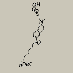 CCCCCCCCCCCCCCCCCC(=O)c1ccc2cc(N(C)CCSOOO)ccc2c1